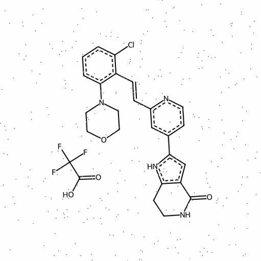 O=C(O)C(F)(F)F.O=C1NCCc2[nH]c(-c3ccnc(/C=C/c4c(Cl)cccc4N4CCOCC4)c3)cc21